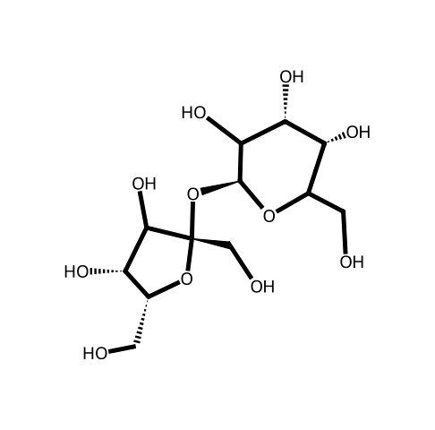 OCC1O[C@@H](O[C@]2(CO)O[C@H](CO)[C@H](O)C2O)C(O)[C@H](O)[C@@H]1O